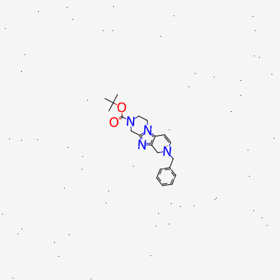 CC(C)(C)OC(=O)N1CCn2c(nc3c2C=CN(Cc2ccccc2)C3)C1